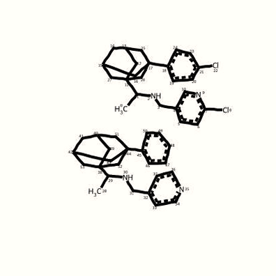 CC(NCc1ccc(Cl)nc1)C12CC3CC(CC(c4ccc(Cl)cc4)(C3)C1)C2.CC(NCc1ccncc1)C12CC3CC(CC(c4ccccc4)(C3)C1)C2